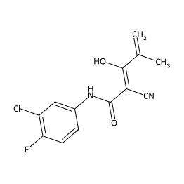 C=C(C)C(O)=C(C#N)C(=O)Nc1ccc(F)c(Cl)c1